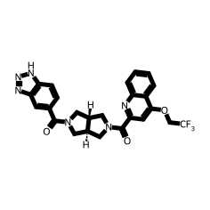 O=C(c1ccc2[nH]nnc2c1)N1C[C@@H]2CN(C(=O)c3cc(OCC(F)(F)F)c4ccccc4n3)C[C@H]2C1